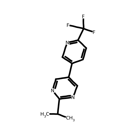 CC(C)c1ncc(-c2ccc(C(F)(F)F)nc2)cn1